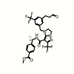 COC(=O)c1ccc([C@H](C)NC(=O)c2c(C(F)(F)F)nn3c2N(Cc2cc(CCC=O)cc(C(F)(F)F)c2)CC3)cc1